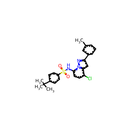 Cc1cccc(-c2cc3c(Cl)ccc(NS(=O)(=O)c4ccc(C(C)(C)C)cc4)n3n2)c1